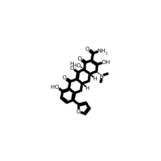 CN(C)[C@H]1C(O)=C(C(N)=O)C(=O)[C@]2(O)C(O)=C3C(=O)c4c(O)ccc(-c5ccco5)c4C[C@H]3C[C@@H]12